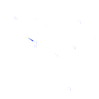 CNC(=O)[C@@H](NC(=O)c1nc(-c2cnccc2C)n2c1CN(C)CCC2)C(C)(C)C